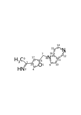 CC(=N)c1coc(Cn2ccc3cnccc32)c1